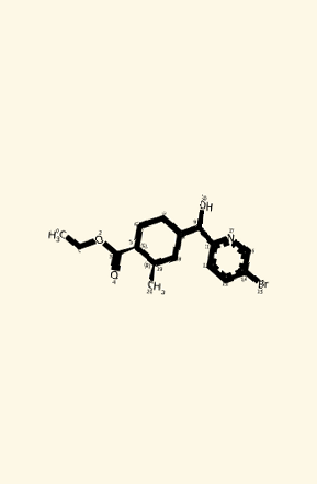 CCOC(=O)[C@H]1CCC(C(O)c2ccc(Br)cn2)C[C@H]1C